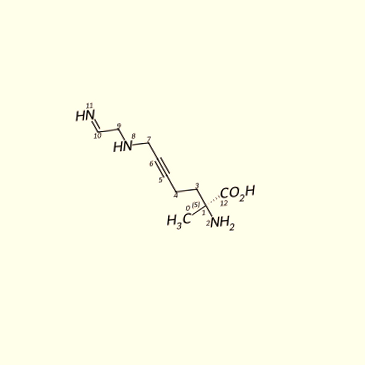 C[C@](N)(CCC#CCNCC=N)C(=O)O